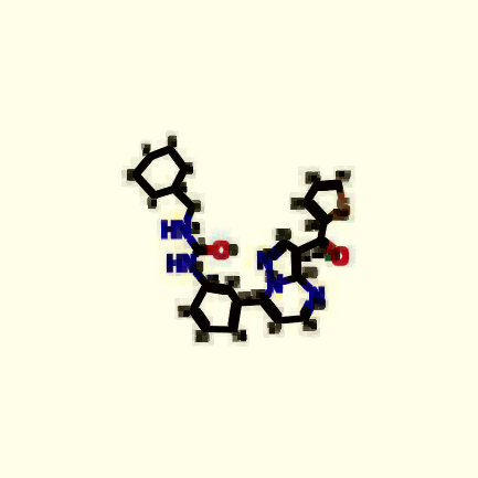 O=C(NCC1CCCCC1)Nc1cccc(-c2ccnc3c(C(=O)c4cccs4)cnn23)c1